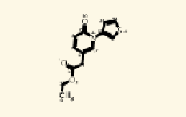 CCOC(=O)Cc1ccc(=O)n(-c2ccsc2)c1